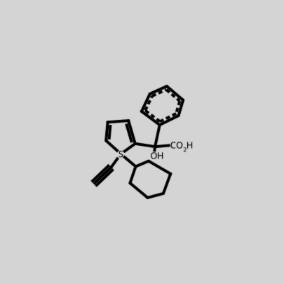 C#CS1(C2CCCCC2)C=CC=C1C(O)(C(=O)O)c1ccccc1